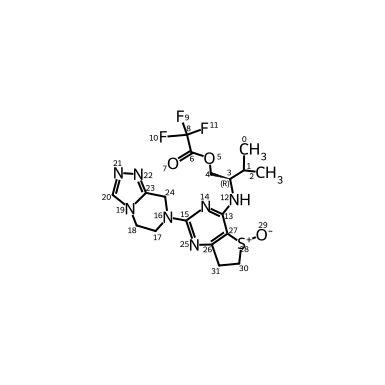 CC(C)[C@H](COC(=O)C(F)(F)F)Nc1nc(N2CCn3cnnc3C2)nc2c1[S+]([O-])CC2